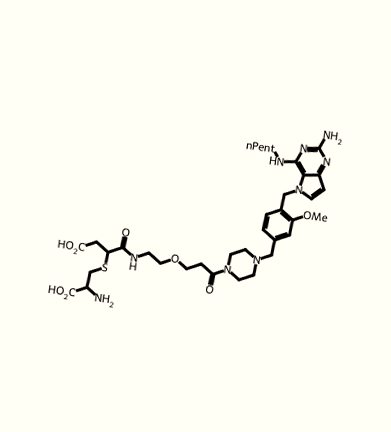 CCCCCNc1nc(N)nc2ccn(Cc3ccc(CN4CCN(C(=O)CCOCCNC(=O)C(CC(=O)O)SCC(N)C(=O)O)CC4)cc3OC)c12